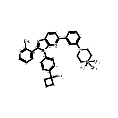 C[SH]1(C)(C)CCN(c2cccc(-c3ccc4nc(-c5cccnc5N)n(-c5ccc(C6(N)CCC6)cc5)c4n3)c2)CC1